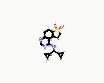 O=S1(=O)CCc2c1ccc1ncnc(NC(C3CC3)C3CC3)c21